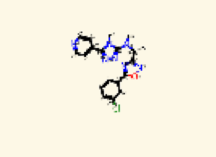 C[C@H](c1noc(C2C=CC=C(Cl)C2)n1)N(C)c1nnc(-c2ccncc2)n1C